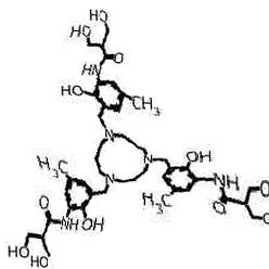 Cc1cc(CN2CCCN(Cc3cc(C)cc(NC(=O)C(CO)CO)c3O)CCCN(Cc3cc(C)cc(NC(=O)C(CO)CO)c3O)CCC2)c(O)c(NC(=O)C(CO)CO)c1